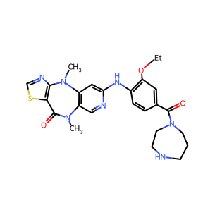 CCOc1cc(C(=O)N2CCCNCC2)ccc1Nc1cc2c(cn1)N(C)C(=O)c1scnc1N2C